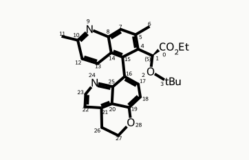 CCOC(=O)[C@@H](OC(C)(C)C)c1c(C)cc2nc(C)ccc2c1-c1ccc2c3c(ccnc13)CCO2